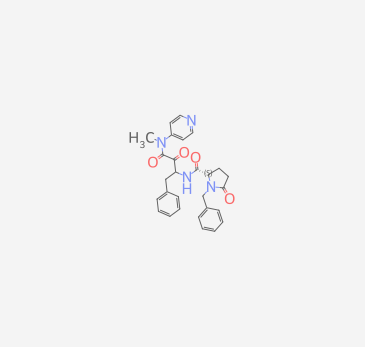 CN(C(=O)C(=O)C(Cc1ccccc1)NC(=O)[C@@H]1CCC(=O)N1Cc1ccccc1)c1ccncc1